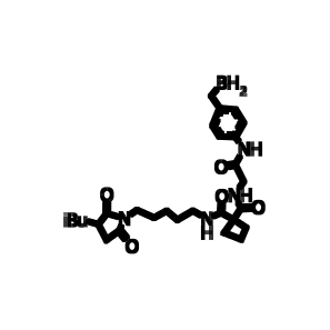 BCc1ccc(NC(=O)CNC(=O)C2(C(=O)NCCCCCN3C(=O)CC(C(C)CC)C3=O)CCC2)cc1